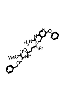 COC(=O)[C@H](COCc1ccccc1)NC(=O)CC[C@@H](C(C)C)N1Cc2cc(Oc3ccccc3)ncc2N=C1N